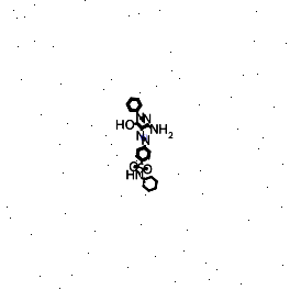 Nc1nn(-c2ccccc2)c(O)c1/N=N/c1ccc(S(=O)(=O)NC2CCCCC2)cc1